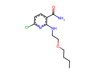 CCCCOCCNc1nc(Cl)ccc1C(N)=O